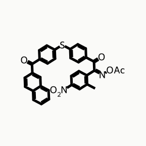 CC(=O)O/N=C(\C(=O)c1ccc(Sc2ccc(C(=O)c3ccc4ccccc4c3)cc2)cc1)c1ccc([N+](=O)[O-])cc1C